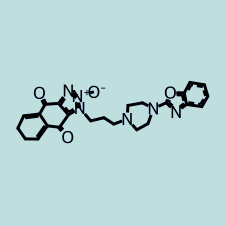 O=C1C2=CCCC=C2C(=O)c2c1n[n+]([O-])n2CCCN1CCN(c2nc3ccccc3o2)CC1